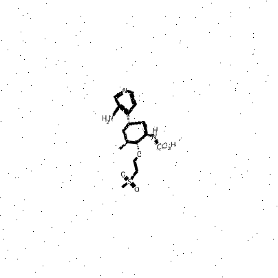 C[C@H]1C[C@H](c2ccncc2N)C[C@@H](NC(=O)O)[C@@H]1OCCS(C)(=O)=O